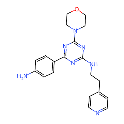 Nc1ccc(-c2nc(NCCc3ccncc3)nc(N3CCOCC3)n2)cc1